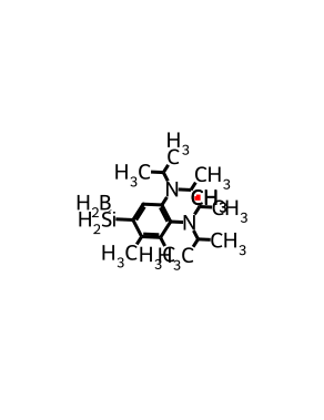 B[SiH2]c1cc(N(C(C)C)C(C)C)c(N(C(C)C)C(C)C)c(C)c1C